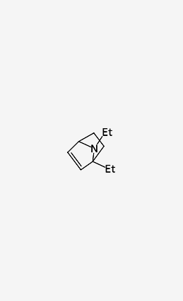 CCN1C2C=CC1(CC)CC2